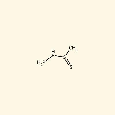 CS(=S)PP